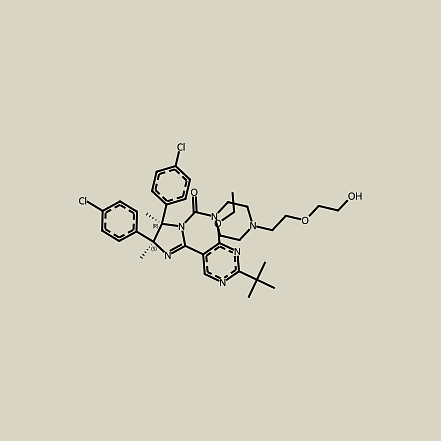 CCOc1nc(C(C)(C)C)ncc1C1=N[C@@](C)(c2ccc(Cl)cc2)[C@@](C)(c2ccc(Cl)cc2)N1C(=O)N1CCN(CCOCCO)CC1